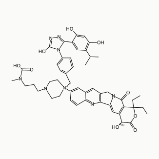 CCC1(CC)OC(=O)[C@@H](O)c2cc3n(c(=O)c21)Cc1cc2cc([N+]4(Cc5ccc(-n6c(O)nnc6-c6cc(C(C)C)c(O)cc6O)cc5)CCN(CCCN(C)C(=O)O)CC4)ccc2nc1-3